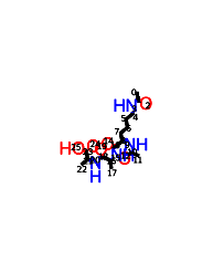 CC(=O)NCCCCC(NC(C)=O)C(=O)NC(C)C(=O)NC(C)C(=O)O